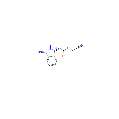 N#CCOC(=O)/C=C1/NC(=N)c2ccccc21